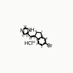 Brc1ccc2c(c1)CC/C2=C\c1cnc[nH]1.Cl